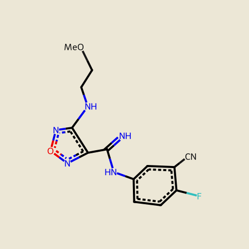 COCCNc1nonc1C(=N)Nc1ccc(F)c(C#N)c1